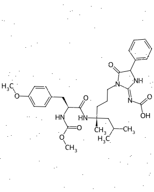 COC(=O)N[C@@H](Cc1ccc(OC)cc1)C(=O)N[C@](C)(CCCN1C(=O)C(c2ccccc2)NC1=NC(=O)O)CC(C)C